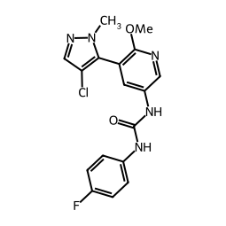 COc1ncc(NC(=O)Nc2ccc(F)cc2)cc1-c1c(Cl)cnn1C